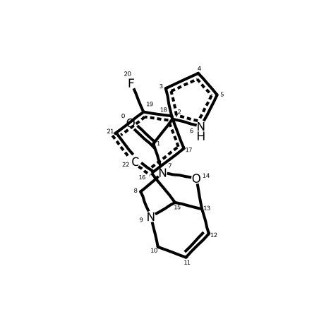 O=C(c1ccc[nH]1)N1CN2CC=CC(O1)C2c1ccc(F)cc1